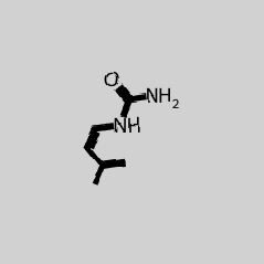 C=C(C)/C=C\NC(N)=O